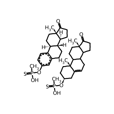 C[C@]12CC[C@@H]3c4ccc(OP(C)(O)=S)cc4CC[C@H]3[C@@H]1CCC2=O.C[C@]12CC[C@H](OP(C)(O)=S)CC1=CCC1C2CC[C@]2(C)C(=O)CCC12